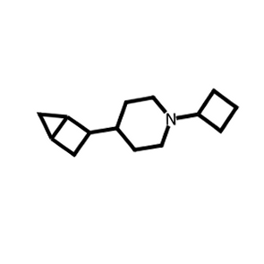 C1CC(N2CCC(C3CC4CC43)CC2)C1